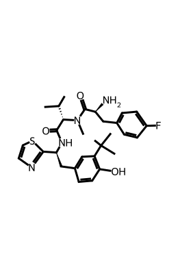 CC(C)[C@@H](C(=O)N[C@@H](Cc1ccc(O)c(C(C)(C)C)c1)c1nccs1)N(C)C(=O)[C@@H](N)Cc1ccc(F)cc1